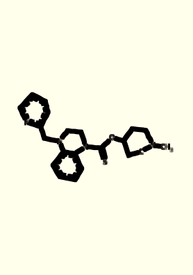 CN1CCC(OC(=S)N2CCN(Cc3ccccn3)c3ccccc32)CC1